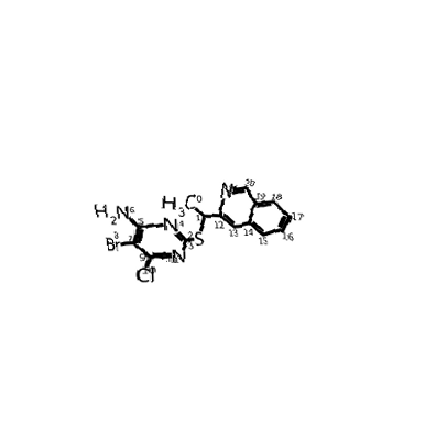 CC(Sc1nc(N)c(Br)c(Cl)n1)c1cc2ccccc2cn1